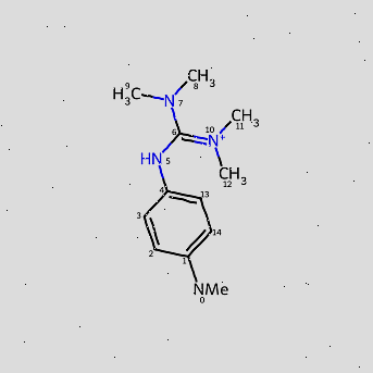 CNc1ccc(NC(N(C)C)=[N+](C)C)cc1